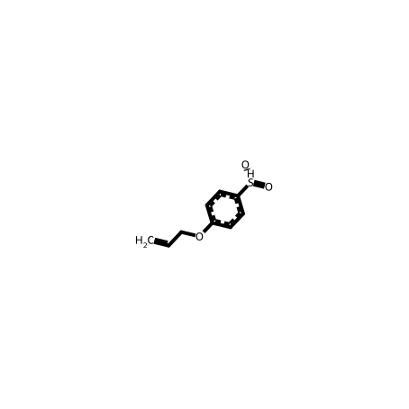 C=CCOc1ccc([SH](=O)=O)cc1